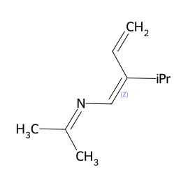 C=C/C(=C\N=C(C)C)C(C)C